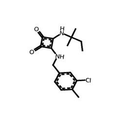 CCC(C)(C)Nc1c(NCc2ccc(C)c(Cl)c2)c(=O)c1=O